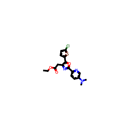 CCOC(=O)Cc1nc(-c2ccc(N(C)C)cn2)oc1-c1ccc(Cl)s1